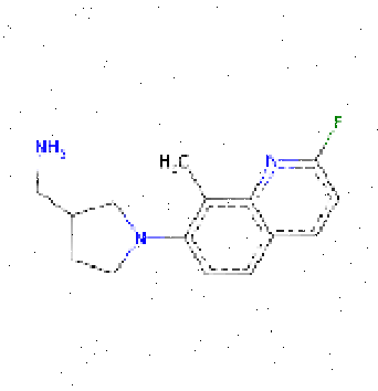 Cc1c(N2CCC(CN)C2)ccc2ccc(F)nc12